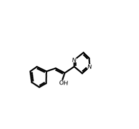 OC(=Cc1ccccc1)c1cnccn1